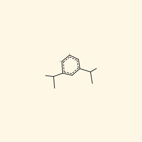 CC(C)c1[c][c]cc(C(C)C)c1